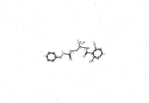 O=C(NC[C@H](NC(=O)c1c(Cl)cccc1Cl)C(=O)O)OCc1ccccc1